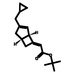 CC(C)(C)OC(=O)C=C1C[C@H]2CC(CC3CC3)=C[C@@H]12